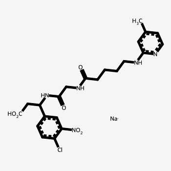 Cc1ccnc(NCCCCC(=O)NCC(=O)NC(CC(=O)O)c2ccc(Cl)c([N+](=O)[O-])c2)c1.[Na]